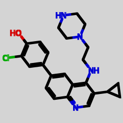 Oc1ccc(-c2ccc3ncc(C4CC4)c(NCCN4CCNCC4)c3c2)cc1Cl